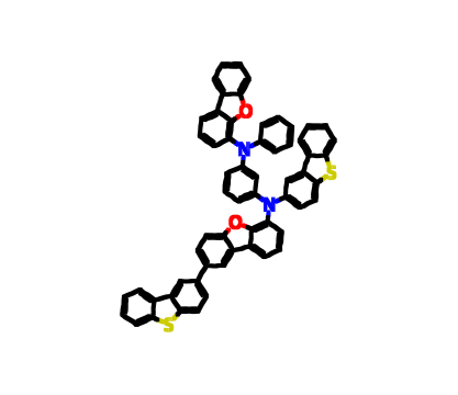 c1ccc(N(c2cccc(N(c3ccc4sc5ccccc5c4c3)c3cccc4c3oc3ccc(-c5ccc6sc7ccccc7c6c5)cc34)c2)c2cccc3c2oc2ccccc23)cc1